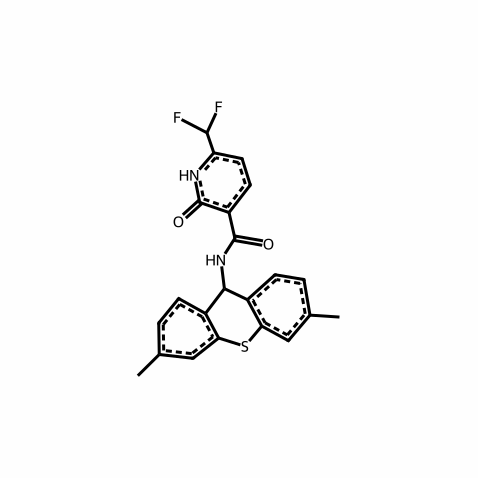 Cc1ccc2c(c1)Sc1cc(C)ccc1C2NC(=O)c1ccc(C(F)F)[nH]c1=O